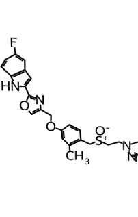 Cc1cc(OCc2coc(-c3cc4cc(F)ccc4[nH]3)n2)ccc1C[S+]([O-])CCn1ccnn1